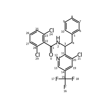 O=C(NC(Cc1ccccc1)c1ncc(C(F)(F)F)cc1Cl)c1c(Cl)cccc1Cl